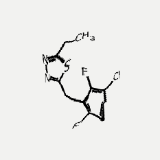 CCc1nnc(Cc2c(F)ccc(Cl)c2F)s1